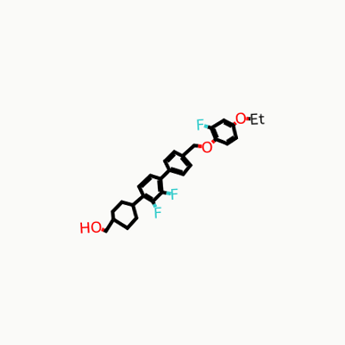 CCOc1ccc(OCc2ccc(-c3ccc(C4CCC(CO)CC4)c(F)c3F)cc2)c(F)c1